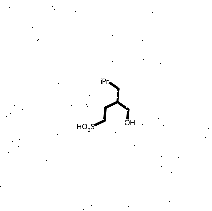 CC(C)CC(CO)CCS(=O)(=O)O